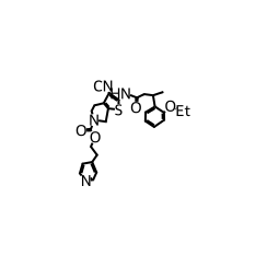 CCOc1ccccc1C(C)CC(=O)Nc1sc2c(c1C#N)CCN(C(=O)OCCc1ccncc1)C2